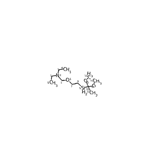 CCN(CC)COCC[SiH2]C(C)(OC)OC